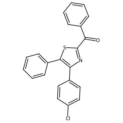 O=C(c1ccccc1)c1nc(-c2ccc(Cl)cc2)c(-c2ccccc2)s1